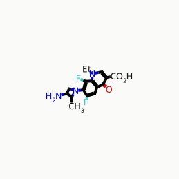 CCn1cc(C(=O)O)c(=O)c2cc(F)c(N3CC(N)C3C)c(F)c21